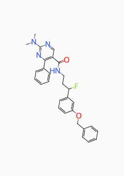 CN(C)c1ncc(C(=O)NCCC(F)c2cccc(OCc3ccccc3)c2)c(-c2ccccc2)n1